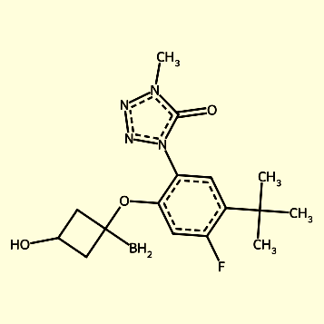 BC1(Oc2cc(F)c(C(C)(C)C)cc2-n2nnn(C)c2=O)CC(O)C1